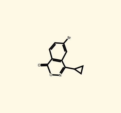 O=c1onc(C2CC2)c2cc(Br)ccc12